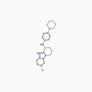 Brc1ccc2[nH]c3c(c2c1)CCCC3Nc1ccc(N2CCCCC2)cc1